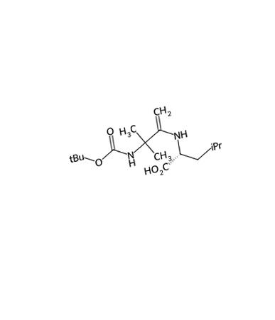 C=C(N[C@H](CC(C)C)C(=O)O)C(C)(C)NC(=O)OC(C)(C)C